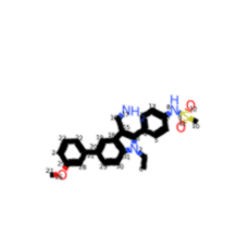 CCn1c(-c2ccc(NS(C)(=O)=O)cc2)c(CN)c2cc(-c3cccc(OC)c3)ccc21